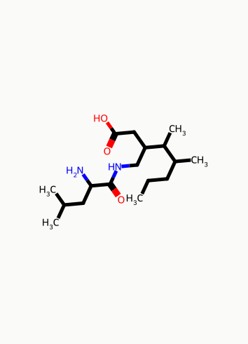 CCCC(C)C(C)C(CNC(=O)C(N)CC(C)C)CC(=O)O